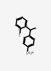 CC(c1ccc(C(=O)O)cc1)c1ccccc1F